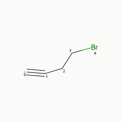 [C]#CCCBr